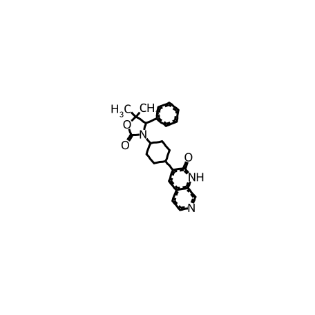 CC1(C)OC(=O)N(C2CCC(c3cc4ccncc4[nH]c3=O)CC2)C1c1ccccc1